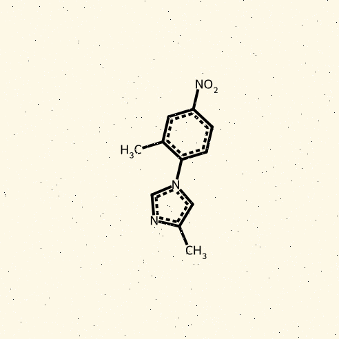 Cc1cn(-c2ccc([N+](=O)[O-])cc2C)cn1